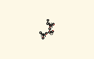 c1ccc(-c2cccc(-c3cc(-c4ccc(-c5cc(-c6ccc(-c7cc(-c8ccccc8)nc(-c8ccccc8)n7)cc6)cc6oc7ccccc7c56)cc4)nc(-c4ccccc4)n3)c2)cc1